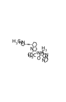 Cc1nn2cccnc2c1C(=O)NC(C)c1cc2cccc(C#Cc3ccn(C)n3)c2nc1-c1ccccc1